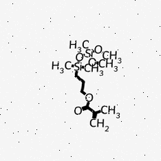 C=C(C)C(=O)OCCC[Si](C)(C)O[Si](C)(OC)OC